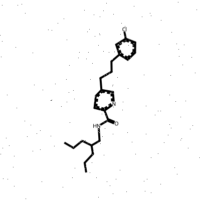 CCCC(CCC)CNC(=O)c1ccc(CCCc2cccc(Cl)c2)cn1